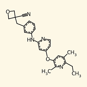 CCc1nc(C)c(Oc2ccnc(Nc3cccc(CC4(C#N)COC4)c3)c2)cc1C